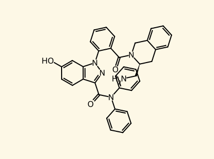 NC[C@@H]1Cc2ccccc2CN1C(=O)c1ccccc1-n1nc(C(=O)N(c2ccccc2)c2ccccc2)c2ccc(O)cc21